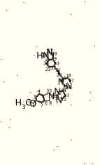 COc1ccc2c(c1)CN(c1nccc(-c3nccc(C#Cc4ccc5[nH]ncc5c4)n3)n1)C2